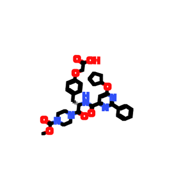 COC(=O)N1CCN(C(=O)[C@H](Cc2ccc(OCC(=O)O)cc2)NC(=O)c2cc(OC3CCCC3)nc(-c3ccccc3)n2)CC1